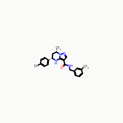 CCc1ccc([C@@H]2C[C@H](C(F)(F)F)n3ncc(C(=O)NCc4cccc(C(F)(F)F)c4)c3N2)cc1